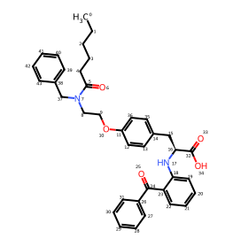 CCCCCC(=O)N(CCOc1ccc(C[C@H](Nc2ccccc2C(=O)c2ccccc2)C(=O)O)cc1)Cc1ccccc1